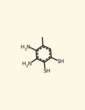 Cc1cc(S)c(S)c(N)c1N